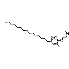 CCCCCCCCCCCCCCCC(Br)C=C(C)C(=O)OCCN(C)C